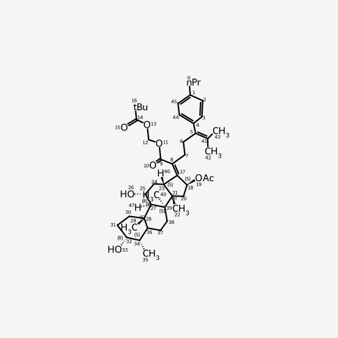 CCCc1ccc(C(CCC(C(=O)OCOC(=O)C(C)(C)C)=C2[C@@H](OC(C)=O)C[C@@]3(C)[C@@H]2C[C@@H](O)[C@@H]2[C@@]4(C)CC[C@@H](O)[C@@H](C)C4CC[C@@]23C)=C(C)C)cc1